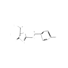 C[C@H](NC1=NC(=O)[C@@](C)([C@H](C)O)S1)c1ccc(F)cc1